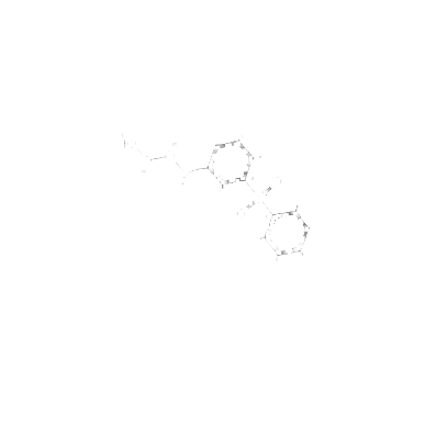 O=S(=O)(c1ccccc1)c1cccc(SOOO)c1